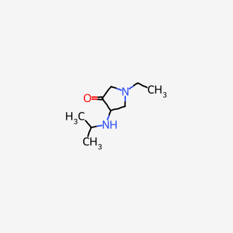 CCN1CC(=O)C(NC(C)C)C1